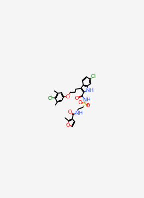 Cc1cc(OCCCc2c(C(=O)NS(=O)(=O)CCNC(=O)c3ccoc3C)[nH]c3cc(Cl)ccc23)cc(C)c1Cl